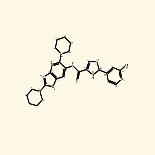 O=C(Nc1cc2oc(N3CCCCC3)nc2nc1N1CCCCC1)C1=COC(c2ccnc(Cl)c2)N1